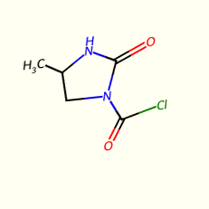 CC1CN(C(=O)Cl)C(=O)N1